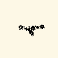 O=c1n(CCCOc2ccccc2)c2ccccc2n1C1CCN(CCCOc2ccccc2)CC1